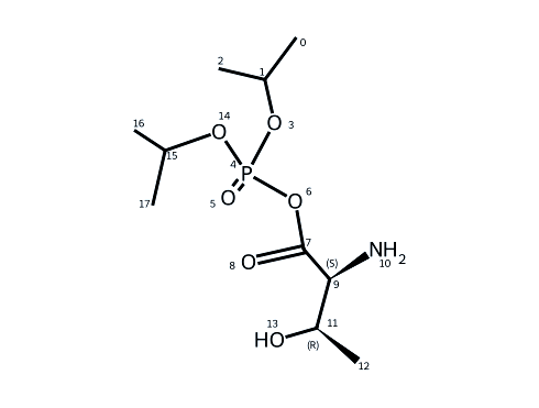 CC(C)OP(=O)(OC(=O)[C@@H](N)[C@@H](C)O)OC(C)C